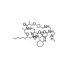 CCCCCC[C@@H](OC[C@@H](C)NC(=O)[C@@H](C)CO[C@H]1C[C@H](CN)C1)[C@@H](C)C(=O)N(C)[C@@H](CCC)C(=O)N[C@H](C(=O)N[C@@H](CN)C(N)=O)C1CCCCCC1